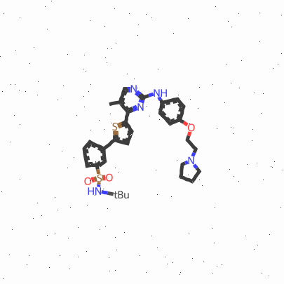 Cc1cnc(Nc2ccc(OCCN3CCCC3)cc2)nc1-c1ccc(-c2cccc(S(=O)(=O)NC(C)(C)C)c2)s1